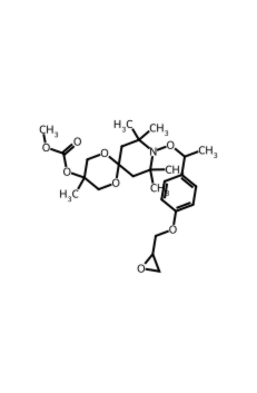 COC(=O)OC1(C)COC2(CC(C)(C)N(OC(C)c3ccc(OCC4CO4)cc3)C(C)(C)C2)OC1